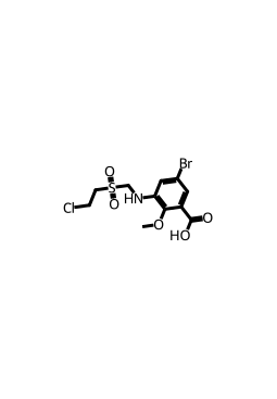 COc1c(NCS(=O)(=O)CCCl)cc(Br)cc1C(=O)O